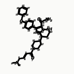 CN(C)CC=CC(=O)N1CCC(C2CCNn3c2nc(-c2ccc(Oc4ccccc4)cc2)c3C(N)=O)CC1